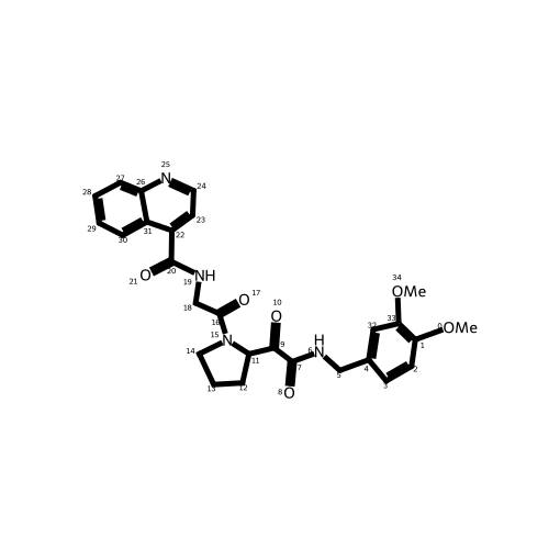 COc1ccc(CNC(=O)C(=O)C2CCCN2C(=O)CNC(=O)c2ccnc3ccccc23)cc1OC